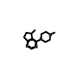 CC1CCc2ncnc(N3CCN(C)CC3)c21